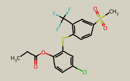 CCC(=O)Oc1ccc(Cl)cc1Sc1ccc(S(C)(=O)=O)cc1C(F)(F)F